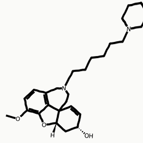 COc1ccc2c3c1O[C@H]1C[C@@H](O)C=CC31CCN(CCCCCCN1CCCCC1)C2